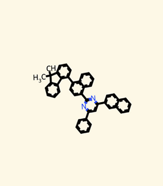 CC1(C)c2ccccc2-c2c(-c3ccc(-c4nc(-c5ccccc5)cc(-c5ccc6ccccc6c5)n4)c4ccccc34)cccc21